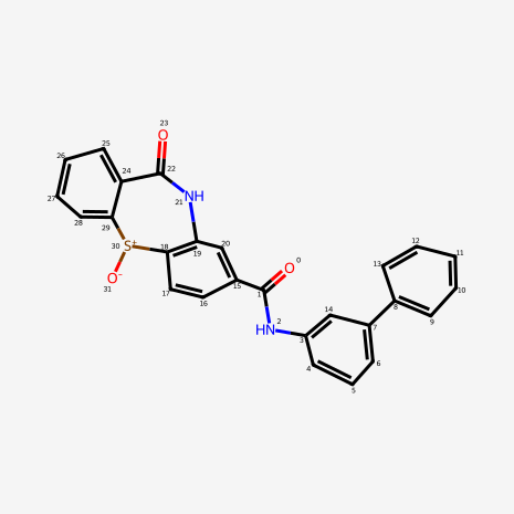 O=C(Nc1cccc(-c2ccccc2)c1)c1ccc2c(c1)NC(=O)c1ccccc1[S+]2[O-]